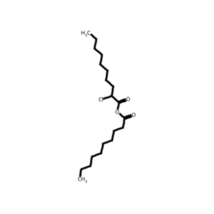 CCCCCCCCCC(=O)OC(=O)C(Cl)CCCCCCCC